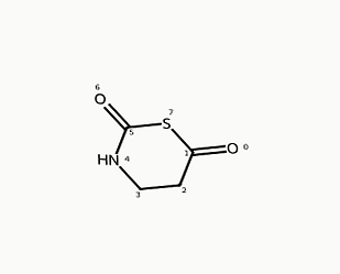 O=C1CCNC(=O)S1